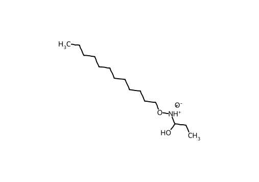 CCCCCCCCCCCCO[NH+]([O-])C(O)CC